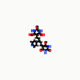 O=C1NC(=O)C(=CC=C(C=CC2=C(O)NC(=O)NC2O)c2ccncc2)C(=O)N1